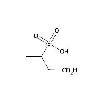 CC(CC(=O)O)S(=O)(=O)O